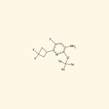 [2H]C([2H])([2H])Oc1nc(C2CC(F)(F)C2)c(F)cc1N